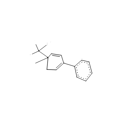 CC1(C(F)(F)F)C=CC(c2ccccc2)=CC1